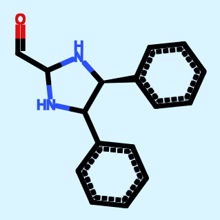 O=CC1NC(c2ccccc2)[C@H](c2ccccc2)N1